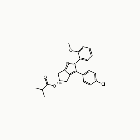 COc1ccccc1-n1nc2c(c1-c1ccc(Cl)cc1)C[C@H](OC(=O)C(C)C)C2